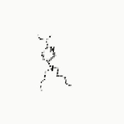 CCCCCN(CCCC)c1ccc(C(C)CC)nc1